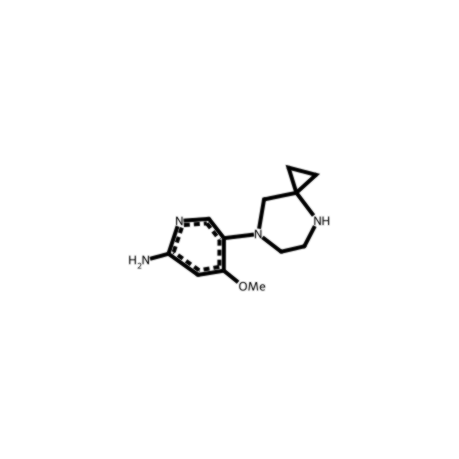 COc1cc(N)ncc1N1CCNC2(CC2)C1